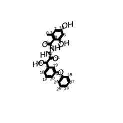 Cc1cc(O)cc(O)c1C(=O)NNC(=O)C(O)c1cccc(Oc2ccccc2)c1